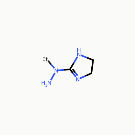 CCN(N)C1=NCCN1